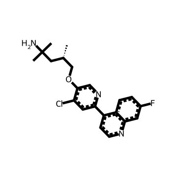 C[C@H](COc1cnc(-c2ccnc3cc(F)ccc23)cc1Cl)CC(C)(C)N